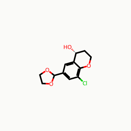 O[C@@H]1CCOc2c(Cl)cc(C3OCCO3)cc21